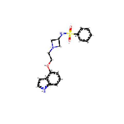 O=S(=O)(NC1CN(CCOc2cccc3[nH]ccc23)C1)c1ccccc1